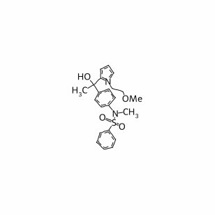 COCCn1cccc1C(C)(O)c1ccc(N(C)S(=O)(=O)c2ccccc2)cc1